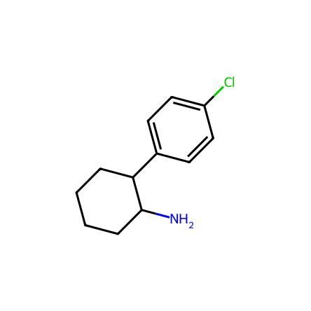 NC1CCCCC1c1ccc(Cl)cc1